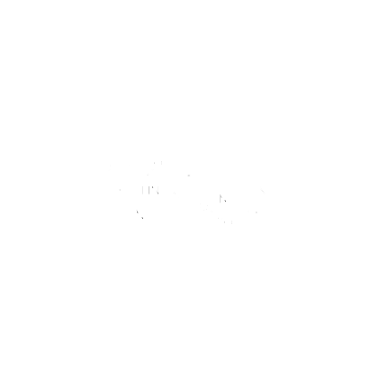 CCS(=O)(=O)N(Cc1ccc(NC(=O)c2ccccc2C#N)cc1)c1ccc(C)c(C)c1